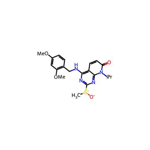 COc1ccc(CNc2nc([S+](C)[O-])nc3c2ccc(=O)n3C(C)C)c(OC)c1